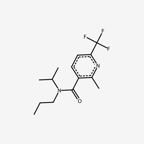 CCCN(C(=O)c1ccc(C(F)(F)F)nc1C)C(C)C